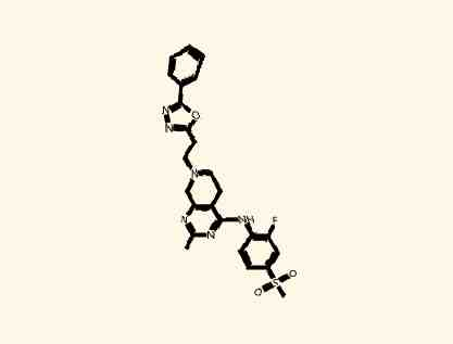 Cc1nc2c(c(Nc3ccc(S(C)(=O)=O)cc3F)n1)CCN(CCc1nnc(-c3ccccc3)o1)C2